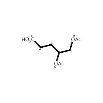 CC(=O)OCC(CCC(=O)O)OC(C)=O